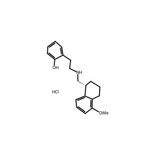 COc1cccc2c1CCC[C@H]2CNCCc1ccccc1O.Cl